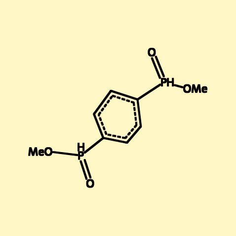 CO[PH](=O)c1ccc([PH](=O)OC)cc1